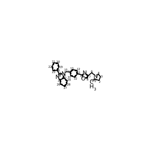 C[C@@H]1CCCN1Cc1coc(-c2ccc(Cn3c(-c4ccccc4)nc4ccccc43)cc2)n1